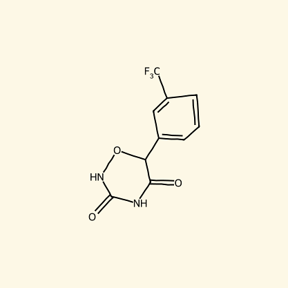 O=C1NOC(c2cccc(C(F)(F)F)c2)C(=O)N1